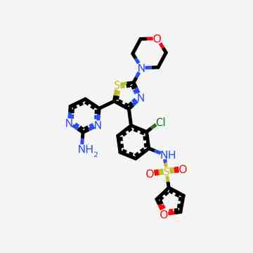 Nc1nccc(-c2sc(N3CCOCC3)nc2-c2cccc(NS(=O)(=O)c3ccoc3)c2Cl)n1